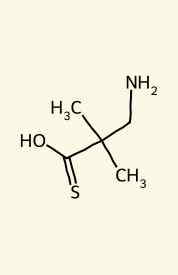 CC(C)(CN)C(O)=S